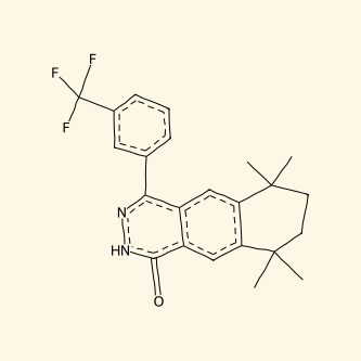 CC1(C)CCC(C)(C)c2cc3c(=O)[nH]nc(-c4cccc(C(F)(F)F)c4)c3cc21